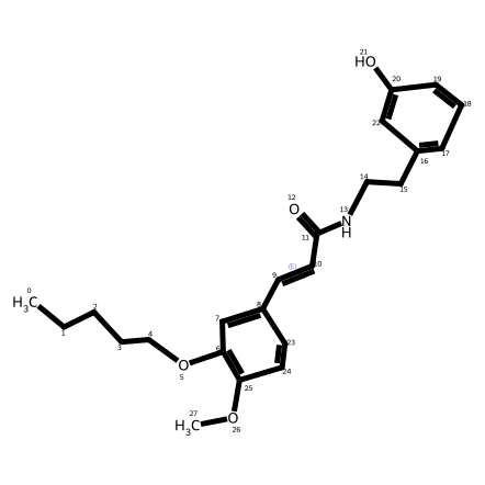 CCCCCOc1cc(/C=C/C(=O)NCCc2cccc(O)c2)ccc1OC